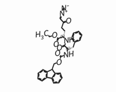 CCOC(=O)[C@H](CCC(=O)C=[N+]=[N-])NC(=O)[C@H](Cc1ccccc1)NC(=O)OCC1c2ccccc2-c2ccccc21